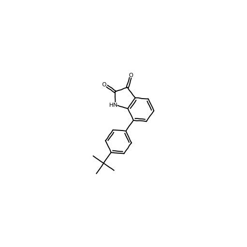 CC(C)(C)c1ccc(-c2cccc3c2NC(=O)C3=O)cc1